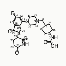 O=C(O)NC1CCC(CN2CCN(c3cc(F)cc4c3CN(C3CCC(=O)NC3=O)C4=O)CC2)CC1